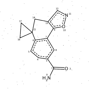 NC(=O)c1ccc2c(c1)-c1oncc1CC21CC1